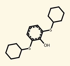 Oc1c(SC2CCCCC2)cccc1SC1CCCCC1